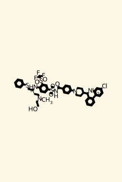 CN(CCO)CC[C@H](CSc1ccccc1)Nc1ccc(S(=O)(=O)NC(=O)c2ccc(N3CCC(C(N)c4ccccc4-c4ccc(Cl)cc4)CC3)cc2)cc1S(=O)(=O)C(F)(F)F